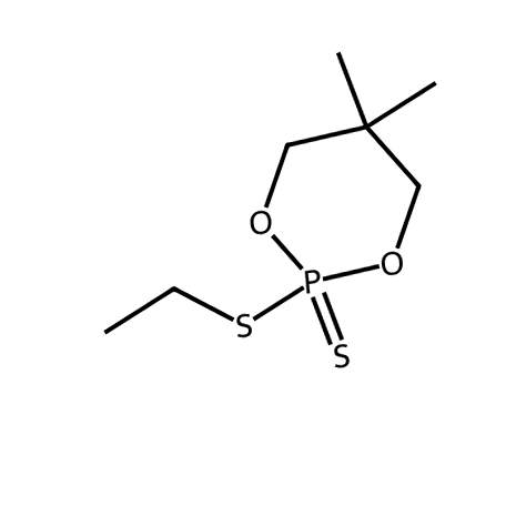 CCSP1(=S)OCC(C)(C)CO1